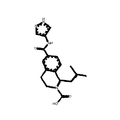 CC(C)CC1c2ccc(C(=O)Nc3cn[nH]c3)cc2CCN1C(=O)O